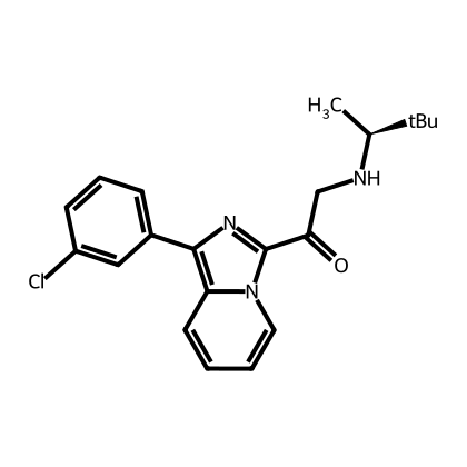 C[C@H](NCC(=O)c1nc(-c2cccc(Cl)c2)c2ccccn12)C(C)(C)C